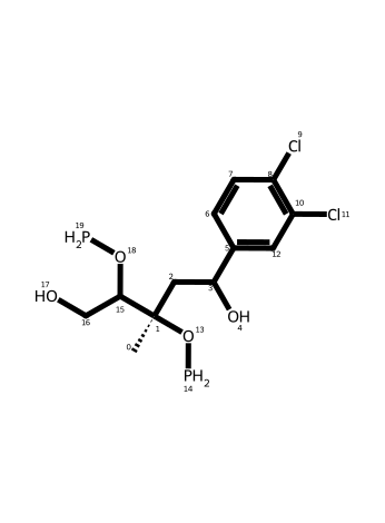 C[C@](CC(O)c1ccc(Cl)c(Cl)c1)(OP)C(CO)OP